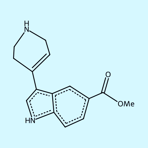 COC(=O)c1ccc2[nH]cc(C3=CCNCC3)c2c1